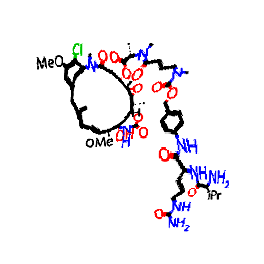 COc1cc2cc(c1Cl)N(C)C(=O)C[C@H](OC(=O)[C@H](C)N(C)C(=O)CCCN(C)C(=O)OCc1ccc(NC(=O)[C@H](CCCNC(N)=O)NC(=O)[C@@H](N)C(C)C)cc1)[C@]1(C)OC1[C@H](C)[C@@H]1C[C@@](O)(NC(=O)O1)[C@H](OC)/C=C/C=C(\C)C2